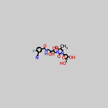 Cc1cn([C@H]2C[C@H](O)[C@@H](CO)O2)c(=O)n(C[C@@H](O)[C@H](O)CNC(=O)c2ccc(F)c(C#N)c2)c1=O